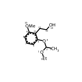 CCOC(C)Oc1cccc(OC)c1CCO